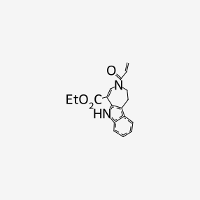 C=CC(=O)N1C=C(C(=O)OCC)c2[nH]c3ccccc3c2CC1